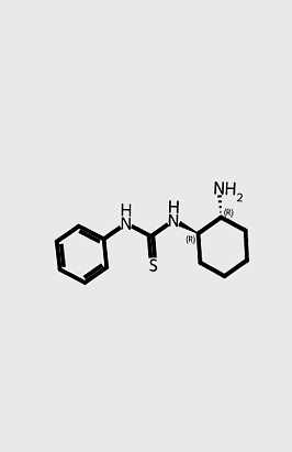 N[C@@H]1CCCC[C@H]1NC(=S)Nc1ccccc1